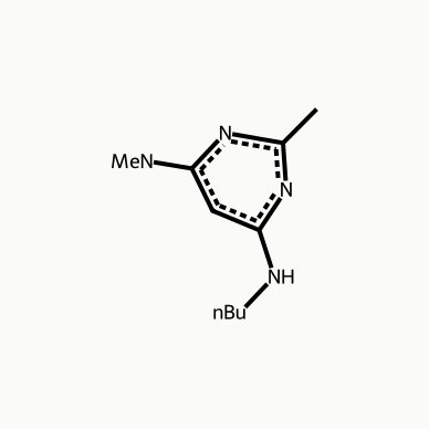 CCCCNc1cc(NC)nc(C)n1